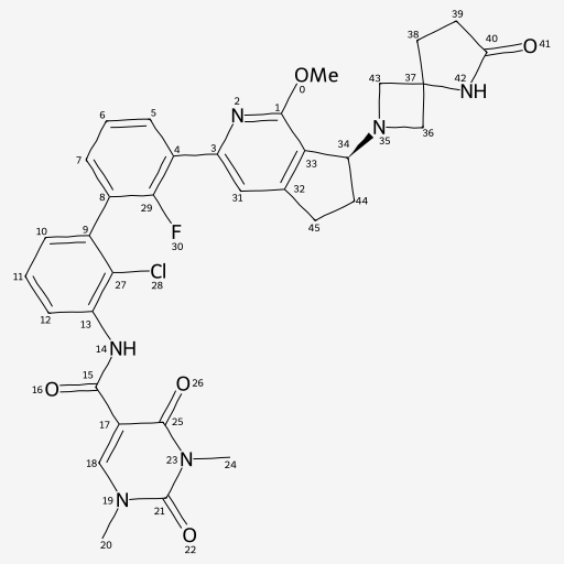 COc1nc(-c2cccc(-c3cccc(NC(=O)c4cn(C)c(=O)n(C)c4=O)c3Cl)c2F)cc2c1[C@@H](N1CC3(CCC(=O)N3)C1)CC2